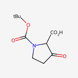 CC(C)(C)OC(=O)N1CCC(=O)C1C(=O)O